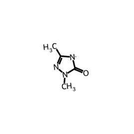 CC1=NN(C)C(=O)[N]1